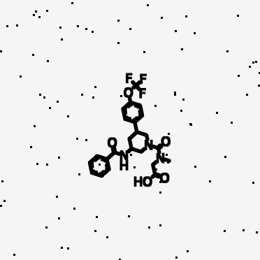 CN(CC(=O)O)C(=O)N1CC(NC(=O)c2ccccc2)CC(c2ccc(OC(F)(F)F)cc2)C1